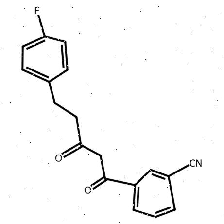 N#Cc1cccc(C(=O)CC(=O)CCc2ccc(F)cc2)c1